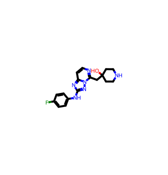 OC1(Cc2nccc3nc(Nc4ccc(F)cc4)nn23)CCNCC1